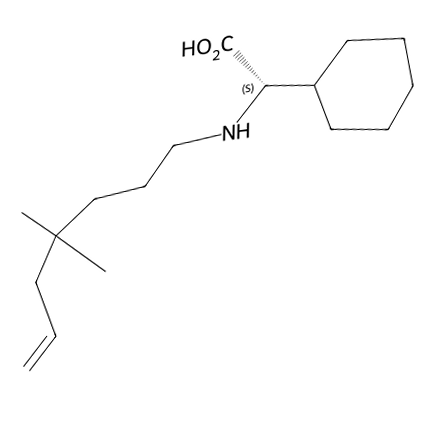 C=CCC(C)(C)CCCN[C@H](C(=O)O)C1CCCCC1